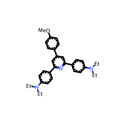 CCN(CC)c1ccc(-c2cc(-c3ccc(OC)cc3)cc(-c3ccc(N(CC)CC)cc3)n2)cc1